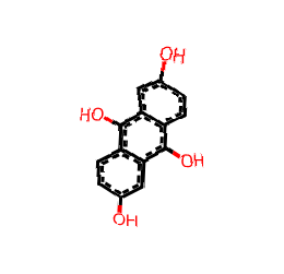 Oc1ccc2c(O)c3cc(O)ccc3c(O)c2c1